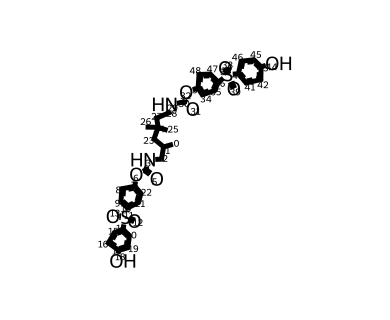 CC(CNC(=O)Oc1ccc(S(=O)(=O)c2ccc(O)cc2)cc1)CC(C)(C)CCNC(=O)Oc1ccc(S(=O)(=O)c2ccc(O)cc2)cc1